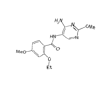 CCOc1cc(OC)ccc1C(=O)Nc1cnc(OC)nc1N